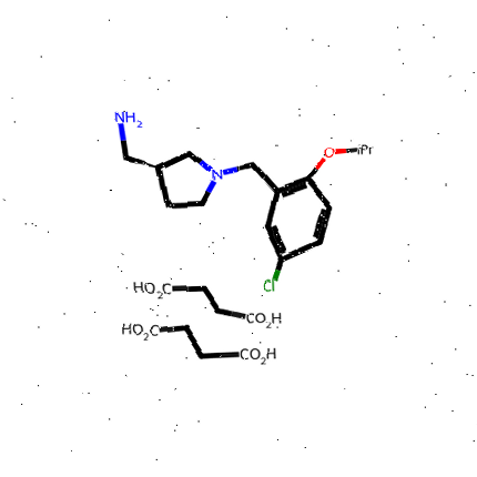 CC(C)Oc1ccc(Cl)cc1CN1CC[C@@H](CN)C1.O=C(O)CCC(=O)O.O=C(O)CCC(=O)O